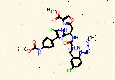 C=N/N=C\N(N)c1ccc(Cl)cc1/C=C/C(=O)NC(Cc1nc(C(=O)OC)co1)c1nc(-c2ccc(NC(=O)OC)cc2)c(Cl)[nH]1